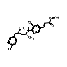 C[C@H](CN(C)Cc1ccc(Cl)cc1)Nc1ncc(/C=C/C(=O)NO)cc1Cl